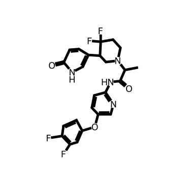 CC(C(=O)Nc1ccc(Oc2ccc(F)c(F)c2)cn1)N1CCC(F)(F)C(c2ccc(=O)[nH]c2)C1